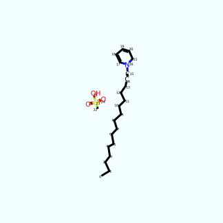 CCCCCCCCCCCCCCCCN1C=CC=CC1.CS(=O)(=O)O